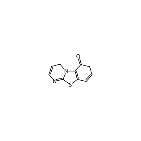 O=C1CC=CC2=C1N1CC=CN=C1S2